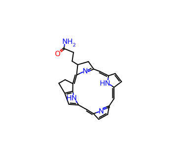 NC(=O)CCC1Cc2cc3ccc(cc4nc(cc5cc6c([nH]5)c(c1n2)CC6)C=C4)[nH]3